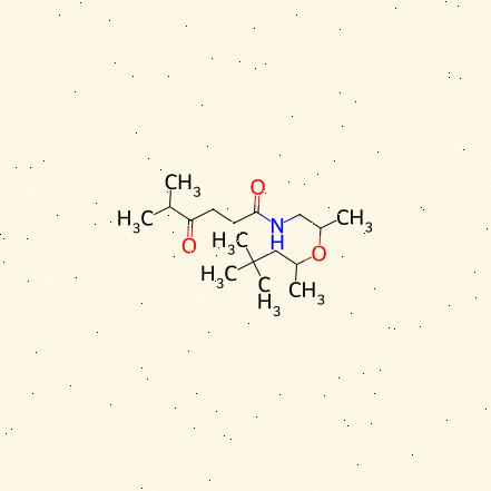 CC(CNC(=O)CCC(=O)C(C)C)OC(C)CC(C)(C)C